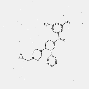 O=C(c1cc(C(F)(F)F)cc(C(F)(F)F)c1)N1CCC(N2CCN(CC3CC3)CC2)C(c2ccccc2)C1